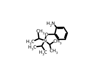 CC(C)[Si](Oc1ccccc1N)(C(C)C)C(C)C